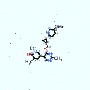 CCn1cc(-c2cnc(C)nc2OC[C@H]2C[C@@H]2c2ccc(OC)cn2)cc(C)c1=O